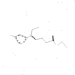 CCOC(=O)CC/C=C(\CC)c1cc(Br)cs1